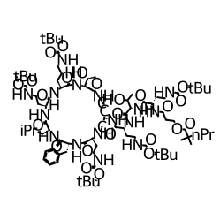 CCCC(C)(C)C(=O)OCCC(=O)N[C@@H](CCNC(=O)OC(C)(C)C)C(=O)N[C@H](C(=O)N[C@@H](CCNC(=O)OC(C)(C)C)C(=O)N[C@H]1CCNC(=O)[C@H]([C@H](C)O)NC(=O)[C@H](CCCNC(=O)OC(C)(C)C)NC(=O)[C@H](CCNC(=O)OC(C)(C)C)NC(=O)[C@H](CC(C)C)NC(=O)[C@@H](Cc2ccccc2)NC(=O)[C@H](CCNC(=O)OC(C)(C)C)NC1)C(C)O